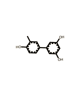 Cc1cc(-c2cc(O)cc(O)c2)ccc1O